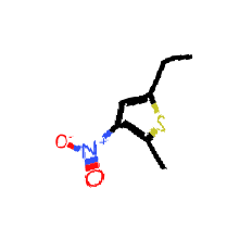 CCc1cc([N+](=O)[O-])c(C)s1